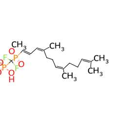 COP(=O)(C=CC=C(C)CCC=C(C)CCC=C(C)C)C(F)(F)P(=O)(O)O